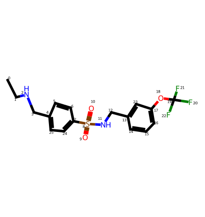 CCNCc1ccc(S(=O)(=O)NCc2cccc(OC(F)(F)F)c2)cc1